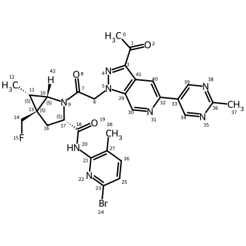 CC(=O)c1nn(CC(=O)N2[C@H]3[C@@H](C)[C@@]3(CF)C[C@H]2C(=O)Nc2nc(Br)ccc2C)c2cnc(-c3cnc(C)nc3)cc12